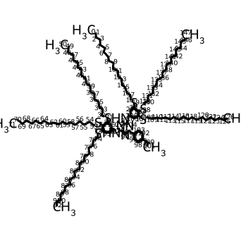 CCCCCCCCCCCCCCCCCCCSc1cc(Nc2nc(Nc3cc(SCCCCCCCCCCCCCCCCCCC)c(SCCCCCCCCCCCCCCCCCCC)c(SCCCCCCCCCCCCCCCCCCC)c3)nc(-c3ccc(CC)cc3)n2)cc(SCCCCCCCCCCCCCCCCCCC)c1SCCCCCCCCCCCCCCCCCCC